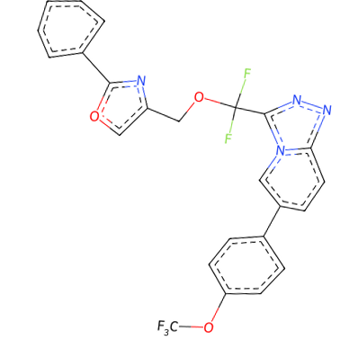 FC(F)(F)Oc1ccc(-c2ccc3nnc(C(F)(F)OCc4coc(-c5ccccc5)n4)n3c2)cc1